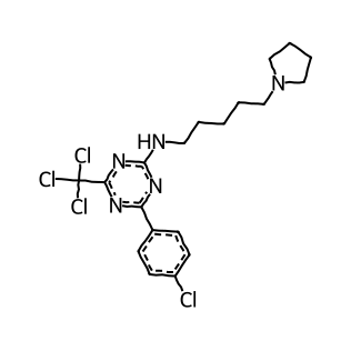 Clc1ccc(-c2nc(NCCCCCN3CCCC3)nc(C(Cl)(Cl)Cl)n2)cc1